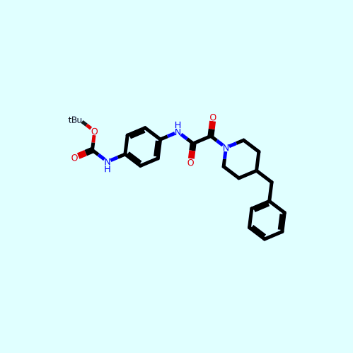 CC(C)(C)OC(=O)Nc1ccc(NC(=O)C(=O)N2CCC(Cc3ccccc3)CC2)cc1